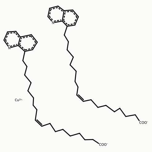 O=C([O-])CCCCCCC/C=C\CCCCCCCCc1cccc2cccnc12.O=C([O-])CCCCCCC/C=C\CCCCCCCCc1cccc2cccnc12.[Cu+2]